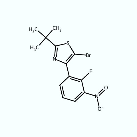 CC(C)(C)c1nc(-c2cccc([N+](=O)[O-])c2F)c(Br)s1